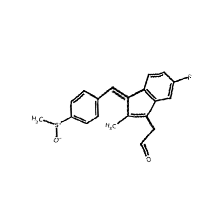 CC1=C(CC=O)c2cc(F)ccc2C1=Cc1ccc([S+](C)[O-])cc1